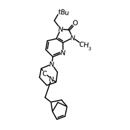 Cn1c(=O)n(CC(C)(C)C)c2ccc(N3CC4CCC3CN4CC3CC4C=CC3C4)nc21